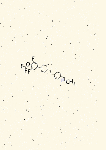 C/C=C/[C@H]1CC[C@H](CC[C@H]2CC[C@H](c3cc(F)c(OC(F)F)c(F)c3)CC2)CC1